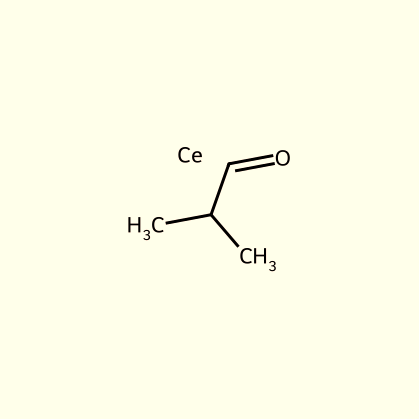 CC(C)C=O.[Ce]